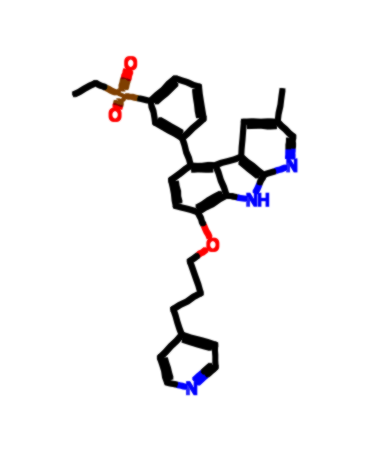 CCS(=O)(=O)c1cccc(-c2ccc(OCCCc3ccncc3)c3[nH]c4ncc(C)cc4c23)c1